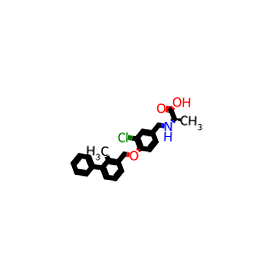 Cc1c(COc2ccc(CN[C@H](C)C(=O)O)cc2Cl)cccc1-c1ccccc1